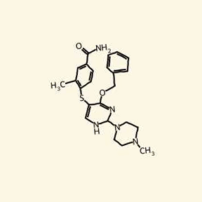 Cc1cc(C(N)=O)ccc1SC1=CNC(N2CCN(C)CC2)N=C1OCc1ccccc1